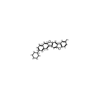 Cc1ccc2oc3cc4c(cc3c2c1)oc1cc2ccc(C3CCCCC3)cc2cc14